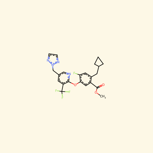 COC(=O)c1cc(Oc2ncc(Cn3nccn3)cc2C(F)(F)F)c(F)cc1CC1CCC1